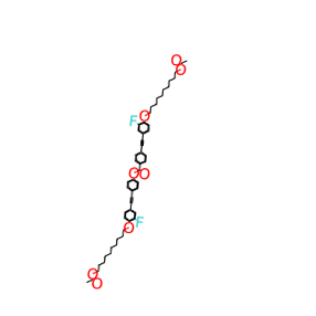 CC(=O)OCCCCCCCCCCOc1ccc(C#Cc2ccc(OC(=O)c3ccc(C#Cc4ccc(OCCCCCCCCCCOC(C)=O)c(F)c4)cc3)cc2)cc1F